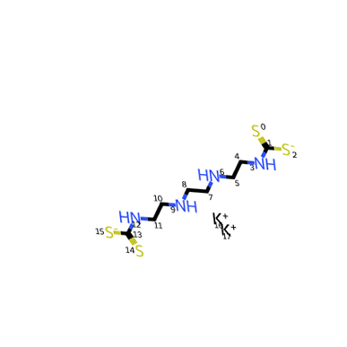 S=C([S-])NCCNCCNCCNC(=S)[S-].[K+].[K+]